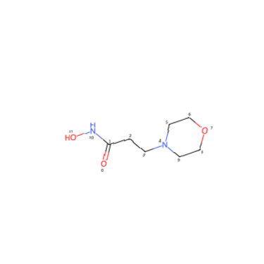 O=C(CCN1CCOCC1)NO